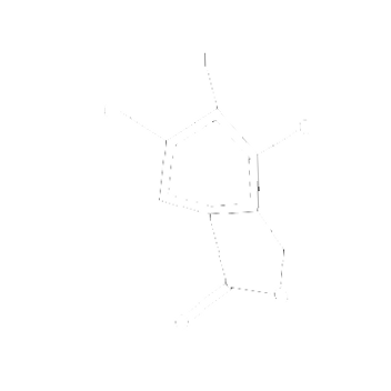 O=C1OCc2c1cc(Cl)c(I)c2Cl